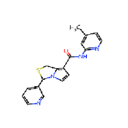 Cc1ccnc(NC(=O)c2ccn3c2CSC3c2cccnc2)c1